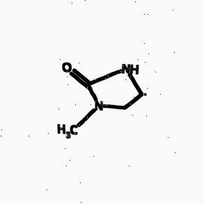 CN1C[CH]NC1=O